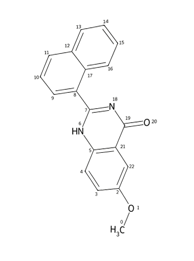 COc1ccc2[nH]c(-c3cccc4ccccc34)nc(=O)c2c1